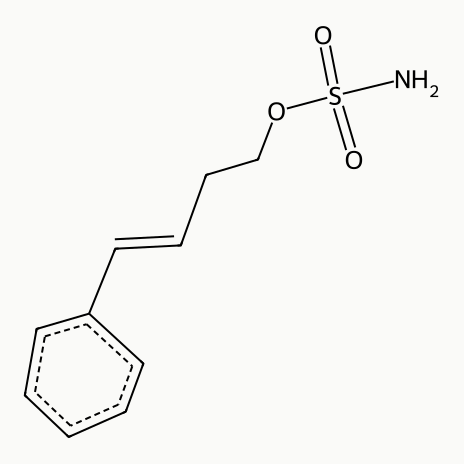 NS(=O)(=O)OCCC=Cc1ccccc1